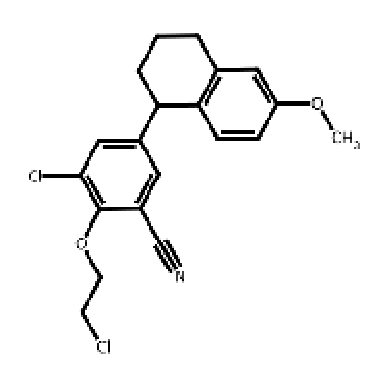 COc1ccc2c(c1)CCCC2c1cc(Cl)c(OCCCl)c(C#N)c1